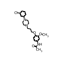 COc1cc(NC(C)=O)ccc1OCCCN1CCN(c2cccc(Cl)c2)CC1